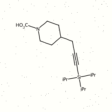 CC(C)[Si](C#CCC1CCN(C(=O)O)CC1)(C(C)C)C(C)C